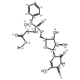 Cc1cn([C@H]2O[C@@H](COP(=O)(N[C@@H](C)C(=O)OC(C)C)Oc3ccccc3)C(O)[C@H]2O)c(=O)[nH]c1=S